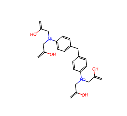 C=C(O)C[N+](CC(=C)O)c1ccc(Cc2ccc([N+](CC(=C)O)CC(=C)O)cc2)cc1